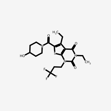 CCc1c(C(=O)N2CCC(O)CC2)sc2c1c(=O)n(CC)c(=O)n2CCC(F)(F)F